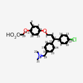 Cc1cc(OC/C=C(/c2ccc(Cl)cc2)c2ccc(CN(C)C)cc2)ccc1OCC(=O)O